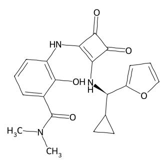 CN(C)C(=O)c1cccc(Nc2c(N[C@@H](c3ccco3)C3CC3)c(=O)c2=O)c1O